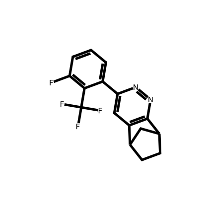 Fc1cccc(-c2cc3c(nn2)C2CCC3C2)c1C(F)(F)F